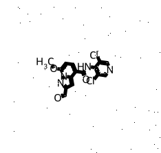 COc1ccc(C(=O)Nc2c(Cl)cncc2Cl)c2cc(C=O)nn12